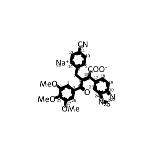 COc1cc(C(=O)C(Cc2ccc(C#N)cc2)=C(C(=O)[O-])c2ccc3nsnc3c2)cc(OC)c1OC.[Na+]